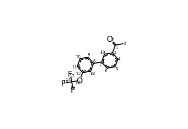 CC(=O)c1cccc(-c2cccc(OC(F)(F)F)c2)c1